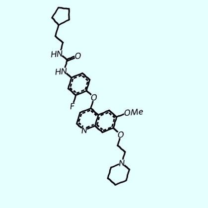 COc1cc2c(Oc3ccc(NC(=O)NCCC4CCCC4)cc3F)ccnc2cc1OCCN1CCCCC1